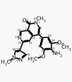 COc1cc(-c2cn(C)c(=O)c3cnc(-c4cnn(C)c4)cc23)cc(OC)c1N